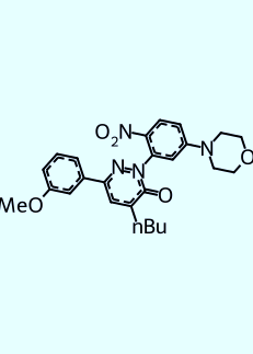 CCCCc1cc(-c2cccc(OC)c2)nn(-c2cc(N3CCOCC3)ccc2[N+](=O)[O-])c1=O